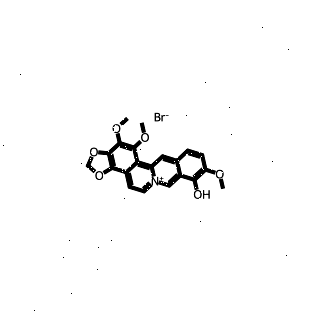 COc1ccc2cc3c4c(OC)c(OC)c5c(c4cc[n+]3cc2c1O)OCO5.[Br-]